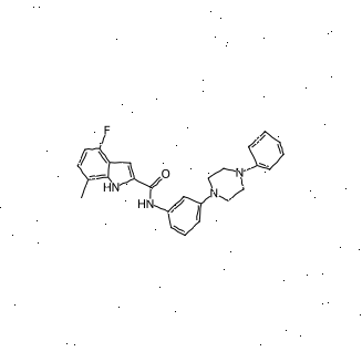 Cc1ccc(F)c2cc(C(=O)Nc3cccc(N4CCN(c5ccccc5)CC4)c3)[nH]c12